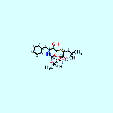 CC(C)C[C@H](SC[C@H](O)[C@H](CC1CCCCC1)NC(=O)OC(C)(C)C)C(=O)O